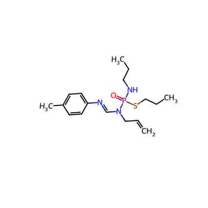 C=CCN(C=Nc1ccc(C)cc1)P(=O)(NCCC)SCCC